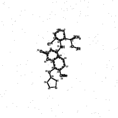 C=C(OCC)c1cncc(Cl)c1Nc1cc(=O)oc2c(OC3CCCC3)c(OC)ccc12